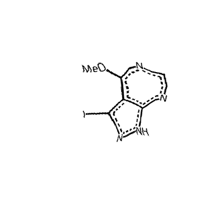 COc1ncnc2[nH]nc(I)c12